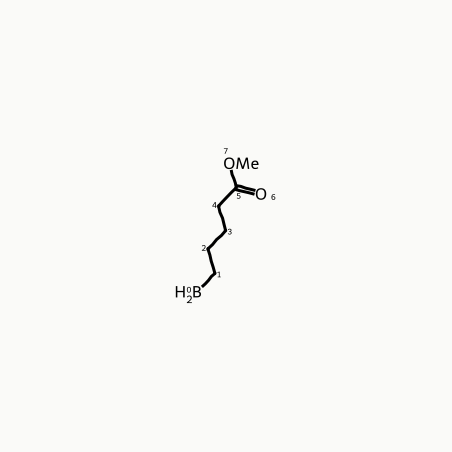 BCCCCC(=O)OC